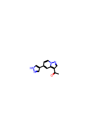 CC(=O)c1cnn2ccc(-c3cn[nH]c3)cc12